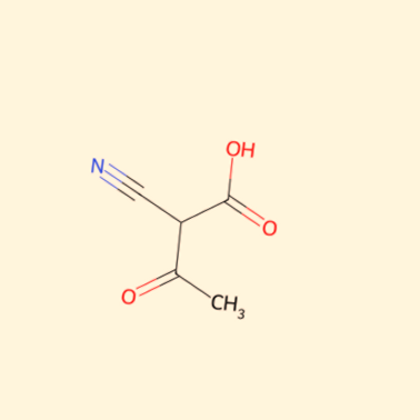 CC(=O)C(C#N)C(=O)O